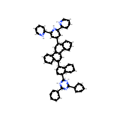 c1ccc(-c2nc(-c3ccccc3)nc(-c3ccc(-c4cc5c6ccccc6c(-c6cc(-c7ccccn7)nc(-c7ccccn7)c6)cc5c5ccccc45)c4ccccc34)n2)cc1